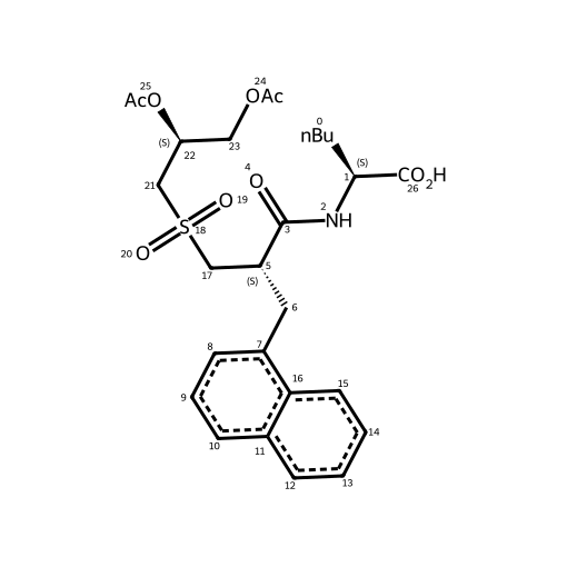 CCCC[C@H](NC(=O)[C@H](Cc1cccc2ccccc12)CS(=O)(=O)C[C@H](COC(C)=O)OC(C)=O)C(=O)O